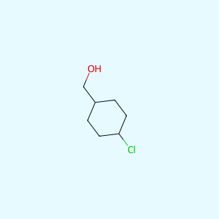 OCC1CCC(Cl)CC1